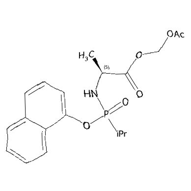 CC(=O)OCOC(=O)[C@H](C)NP(=O)(Oc1cccc2ccccc12)C(C)C